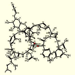 CN[C@@H](CC(C)C)C(=O)N[C@H]1C(=O)N[C@@H](CC(N)=O)C(=O)N[C@H]2C(=O)N[C@H]3C(=O)N[C@H](C(=O)N[C@@H](C(=O)O)c4cc(O)cc(O)c4-c4cc3ccc4O)[C@H](O)c3ccc(c(Cl)c3)Oc3cc2cc(c3OC2OC(CN=[N+]=[N-])C(O)C(O)C2OC2CC(C)(N)C(O)C(C)O2)Oc2ccc(cc2Cl)[C@H]1O